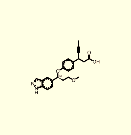 CC#CC(CC(=O)O)c1ccc(O[C@@H](CCOC)c2ccc3[nH]ncc3c2)cc1